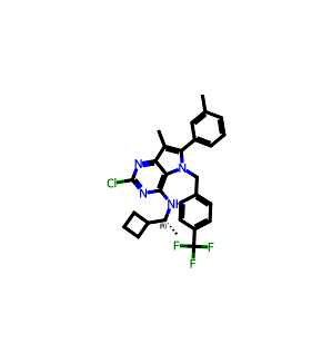 Cc1cccc(-c2c(C)c3nc(Cl)nc(N[C@H](C)C4CCC4)c3n2Cc2ccc(C(F)(F)F)cc2)c1